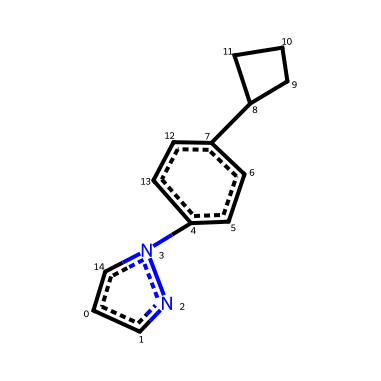 c1cnn(-c2ccc(C3CCC3)cc2)c1